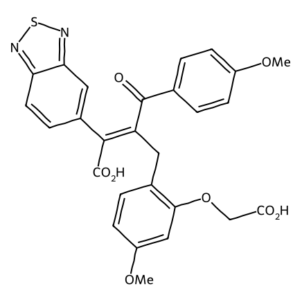 COc1ccc(C(=O)C(Cc2ccc(OC)cc2OCC(=O)O)=C(C(=O)O)c2ccc3nsnc3c2)cc1